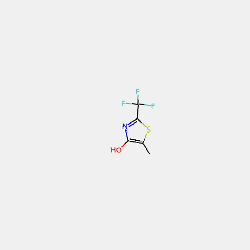 Cc1sc(C(F)(F)F)nc1O